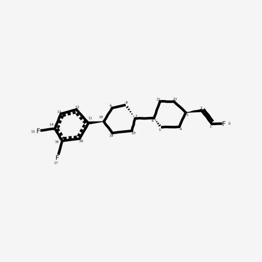 FC=C[C@H]1CC[C@H]([C@H]2CC[C@H](c3ccc(F)c(F)c3)CC2)CC1